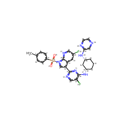 Cc1ccc(S(=O)(=O)n2cc(-c3ncc(F)c(N[C@H]4CCC[C@@H](Nc5cnccn5)C4)n3)c3cc(F)cnc32)cc1